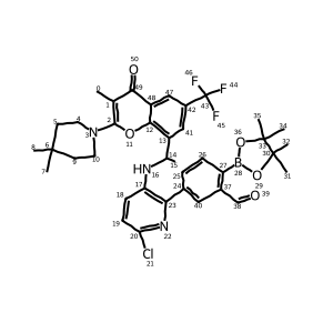 Cc1c(N2CCC(C)(C)CC2)oc2c(C(C)Nc3ccc(Cl)nc3-c3ccc(B4OC(C)(C)C(C)(C)O4)c(C=O)c3)cc(C(F)(F)F)cc2c1=O